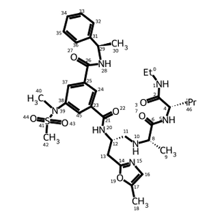 CCNC(=O)[C@@H](NC(=O)[C@H](C)NC[C@H](Cc1ncc(C)o1)NC(=O)c1cc(C(=O)N[C@H](C)c2ccccc2)cc(N(C)S(C)(=O)=O)c1)C(C)C